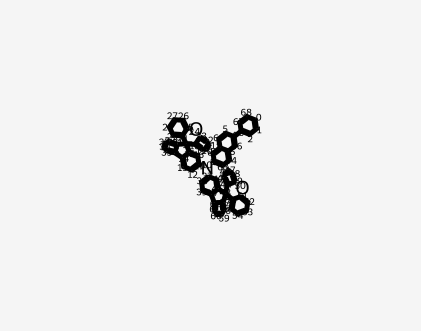 c1ccc(-c2ccc3cc(N(c4ccc5c(c4)C4(c6ccccc6Oc6ccccc64)c4ccccc4-5)c4ccc5c(c4)C4(c6ccccc6Oc6ccccc64)c4ccccc4-5)ccc3c2)cc1